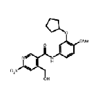 COc1ccc(NC(=O)c2cnc([N+](=O)[O-])cc2CO)cc1OC1CCCC1